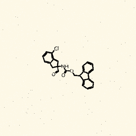 O=CC1(NC(=O)OCC2c3ccccc3-c3ccccc32)Cc2cccc(Cl)c2C1